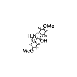 COc1ccc(C(N)C(O)c2ccc(OC)cc2)cc1